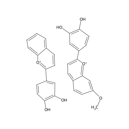 COc1ccc2ccc(-c3ccc(O)c(O)c3)[o+]c2c1.Oc1ccc(-c2ccc3ccccc3[o+]2)cc1O